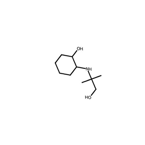 CC(C)(CO)NC1CCCCC1O